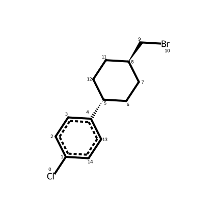 Clc1ccc([C@H]2CC[C@H](CBr)CC2)cc1